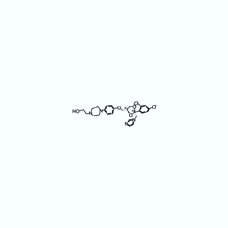 OCCN1CCN(c2ccc(OC[C@@H]3CO[C@@](Cn4ccnc4)(c4ccc(Cl)cc4Cl)O3)cc2)CC1